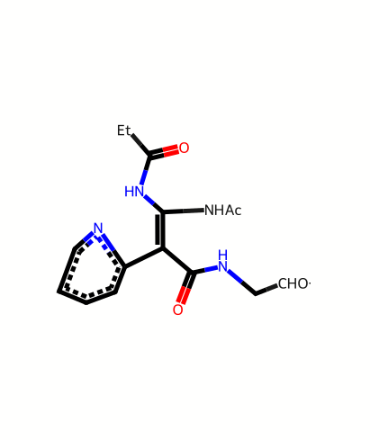 CCC(=O)N/C(NC(C)=O)=C(/C(=O)NC[C]=O)c1ccccn1